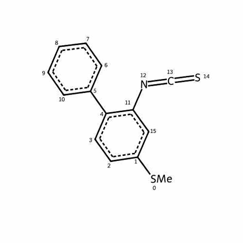 CSc1ccc(-c2ccccc2)c(N=C=S)c1